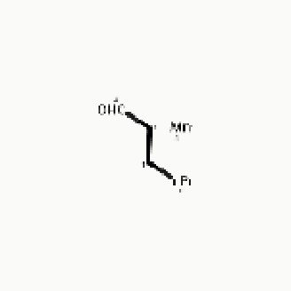 CCCCCC=O.[Mn]